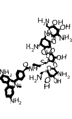 C[n+]1c(-c2ccc(C(=O)NCCSC[C@H]3O[C@@H](O[C@@H]4C(O)[C@H](N)CC(N)[C@H]4O[C@@H]4OC(CN)[C@@H](O)[C@H](O)C4N)C(O)[C@H]3O[C@H]3O[C@@H](CN)[C@@H](O)C(O)C3N)cc2)c2cc(N)ccc2c2ccc(N)cc21